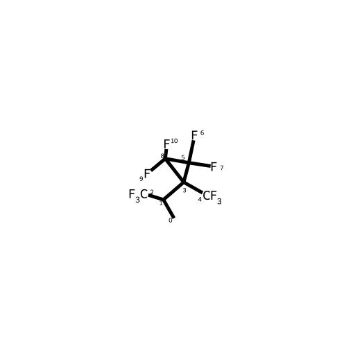 CC(C(F)(F)F)C1(C(F)(F)F)C(F)(F)C1(F)F